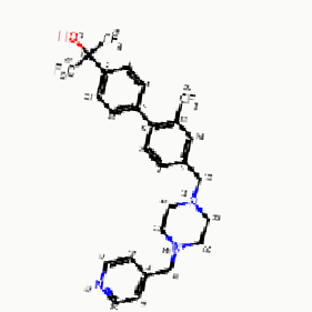 OC(c1ccc(-c2ccc(CN3CCN(Cc4ccncc4)CC3)cc2C(F)(F)F)cc1)(C(F)(F)F)C(F)(F)F